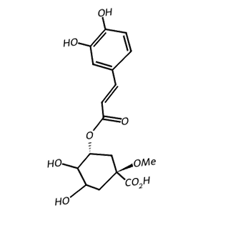 CO[C@@]1(C(=O)O)CC(O)C(O)[C@H](OC(=O)/C=C/c2ccc(O)c(O)c2)C1